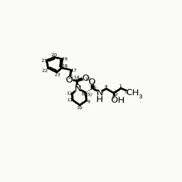 CCC(O)CNC(=O)[C@@H]1CCCCN1C(=O)OCc1ccccc1